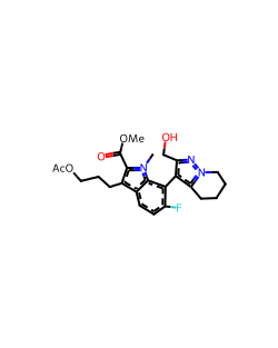 COC(=O)c1c(CCCOC(C)=O)c2ccc(F)c(-c3c(CO)nn4c3CCCC4)c2n1C